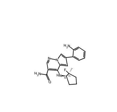 C[C@]1(F)CCC[C@H]1Nc1c(C(N)=O)cnn2cc(-c3ccccc3N)cc12